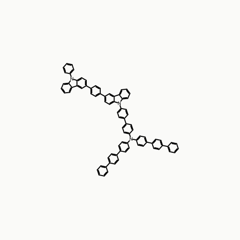 c1ccc(-c2ccc(-c3ccc(N(c4ccc(-c5ccc(-c6ccccc6)cc5)cc4)c4ccc(-c5ccc(-n6c7ccccc7c7cc(-c8ccc(-c9ccc%10c(c9)c9ccccc9n%10-c9ccccc9)cc8)ccc76)cc5)cc4)cc3)cc2)cc1